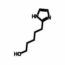 OCCCCCc1ncc[nH]1